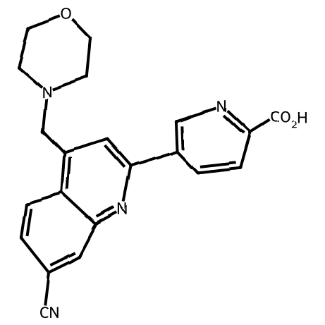 N#Cc1ccc2c(CN3CCOCC3)cc(-c3ccc(C(=O)O)nc3)nc2c1